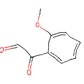 COc1ccccc1C(=O)C=O